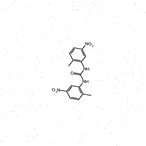 Cc1ccc([N+](=O)[O-])cc1NC(=O)Nc1cc([N+](=O)[O-])ccc1C